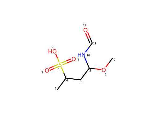 COC(CC(C)S(=O)(=O)O)NC=O